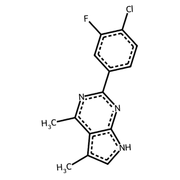 Cc1c[nH]c2nc(-c3ccc(Cl)c(F)c3)nc(C)c12